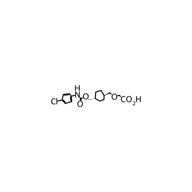 O=C(O)COC[C@H]1CC[C@H](COC(=O)Nc2ccc(Cl)cc2)CC1